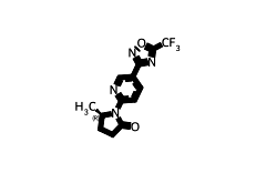 C[C@@H]1CCC(=O)N1c1ccc(-c2noc(C(F)(F)F)n2)cn1